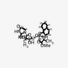 C=C1NC(=O)C=CN1[C@@H]1O[C@H](COP(=S)(NC(C)C(=O)OC)Oc2cccc3ccccc23)[C@@H](O)[C@@]1(C)O